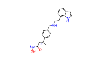 C/C(=C\C(=O)NO)c1ccc(CNCCc2cccc3cc[nH]c23)cc1